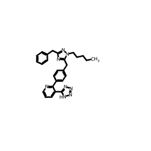 CCCCCn1nc(Cc2ccccc2)nc1Cc1ccc(-c2ncccc2-c2nnn[nH]2)cc1